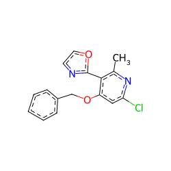 Cc1nc(Cl)cc(OCc2ccccc2)c1-c1ncco1